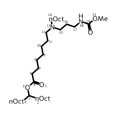 CCCCCCCCC(CCCCCCCC)OC(=O)CCCCCCCN(CCCCCCCC)CCCNC(=O)OC